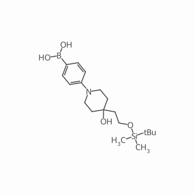 CC(C)(C)[Si](C)(C)OCCC1(O)CCN(c2ccc(B(O)O)cc2)CC1